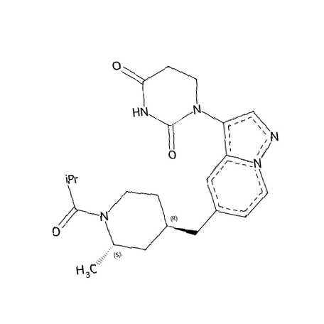 CC(C)C(=O)N1CC[C@@H](Cc2ccn3ncc(N4CCC(=O)NC4=O)c3c2)C[C@@H]1C